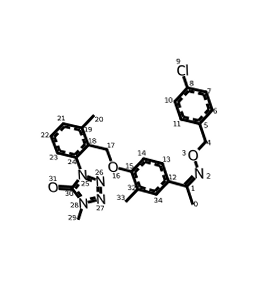 CC(=NOCc1ccc(Cl)cc1)c1ccc(OCc2c(C)cccc2-n2nnn(C)c2=O)c(C)c1